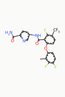 Cc1c(Oc2ccc(C(F)(F)F)c(F)c2C(=O)Nc2ccc(C(N)=O)nc2)ccc(F)c1F